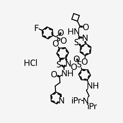 CC(C)N(CCNc1ccc(S(=O)(=O)Oc2ccc3nc(NC(=O)C4CCC4)sc3c2)cc1)C(C)C.Cl.O=C(CCc1cccnc1)Nc1nc2ccc(OS(=O)(=O)c3ccc(F)cc3)cc2s1